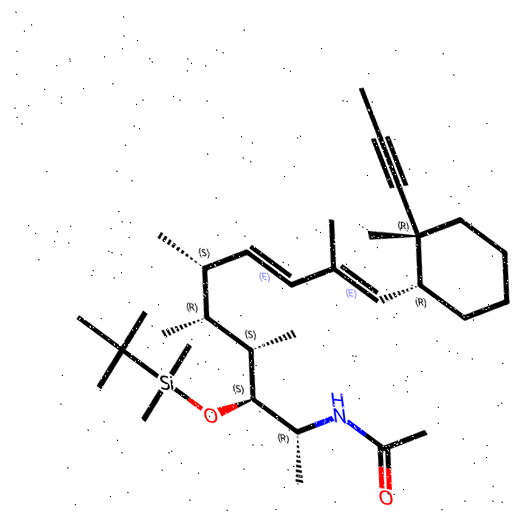 CC#C[C@]1(C)CCCC[C@@H]1/C=C(C)/C=C/[C@@H](C)[C@@H](C)[C@H](C)[C@H](O[Si](C)(C)C(C)(C)C)[C@@H](C)NC(C)=O